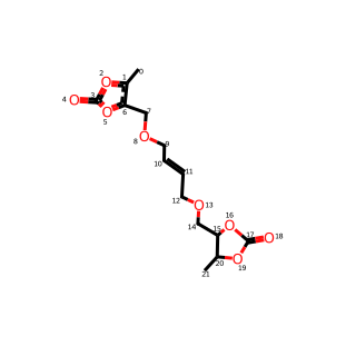 Cc1oc(=O)oc1COC/C=C/COCC1OC(=O)OC1C